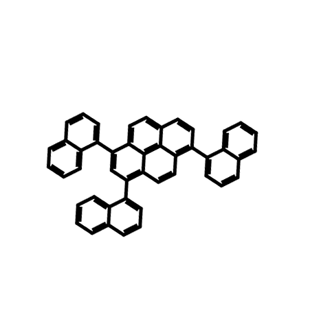 c1ccc2c(-c3ccc4ccc5c(-c6cccc7ccccc67)cc(-c6cccc7ccccc67)c6ccc3c4c56)cccc2c1